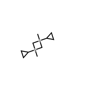 C[Si]1(C2CC2)C[Si](C)(C2CC2)C1